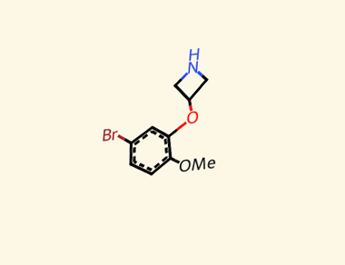 COc1ccc(Br)cc1OC1CNC1